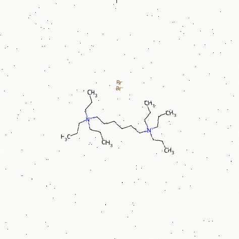 CCC[N+](CCC)(CCC)CCCCCC[N+](CCC)(CCC)CCC.[Br-].[Br-]